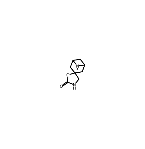 CN1C2CC1CC1(CNC(=O)O1)C2